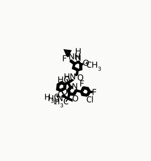 COC1=CC(C(=O)NC[C@@](O)(c2cccc(OC)c2)c2cc3c(c(-c4cc(Cl)c(F)cc4F)n2)OC[C@]3(C)C(N)=O)=C/C(=C/NC2(F)CC2)C1=N